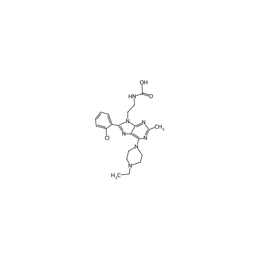 CCN1CCN(c2nc(C)nc3c2nc(-c2ccccc2Cl)n3CCNC(=O)O)CC1